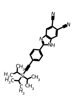 CC(C)[Si](C#Cc1ccc(-c2nc3cc(C#N)c(C#N)cc3[nH]2)cc1)(C(C)C)C(C)C